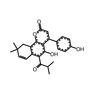 CC(C)C(=O)c1c2c(c3oc(=O)cc(-c4ccc(O)cc4)c3c1O)CC(C)(C)C=C2